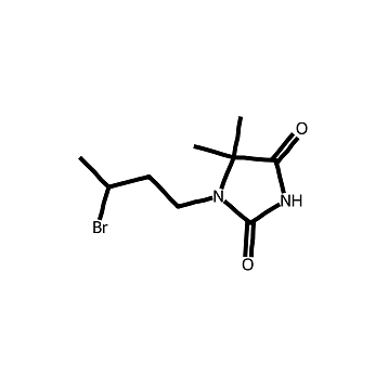 CC(Br)CCN1C(=O)NC(=O)C1(C)C